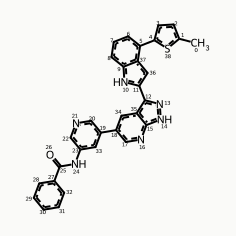 Cc1ccc(-c2cccc3[nH]c(-c4n[nH]c5ncc(-c6cncc(NC(=O)c7ccccc7)c6)cc45)cc23)s1